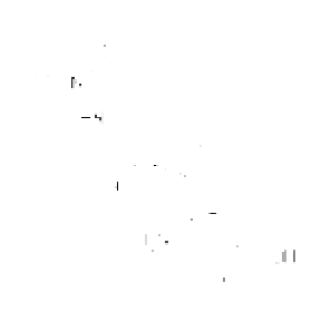 N[C@@H](CC(=O)O)C(=O)C(=O)CN[N+](=O)[O-]